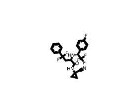 N#CC1(NC(=O)C(CC(F)(F)c2ccccc2)N[C@@H](c2ccc(F)cc2)C(F)(F)F)CC1